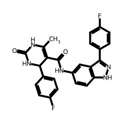 CC1=C(C(=O)Nc2ccc3[nH]nc(-c4ccc(F)cc4)c3c2)C(c2ccc(F)cc2)NC(=O)N1